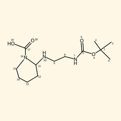 CC(C)(C)OC(=O)NCCNC1CCCCN1C(=O)O